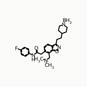 BN1CCC(CCc2noc3c(CN(C)C)c(CC(=O)Nc4ccc(F)cc4)ccc23)CC1